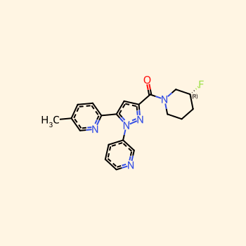 Cc1ccc(-c2cc(C(=O)N3CCC[C@@H](F)C3)nn2-c2cccnc2)nc1